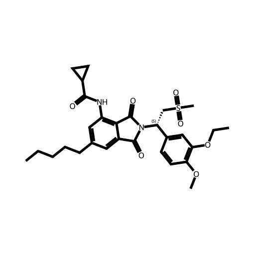 CCCCCc1cc(NC(=O)C2CC2)c2c(c1)C(=O)N([C@H](CS(C)(=O)=O)c1ccc(OC)c(OCC)c1)C2=O